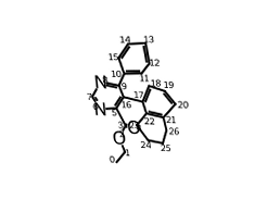 CCOC(=O)c1ncnc(-c2ccccc2)c1-c1cccc2c1CCCC2